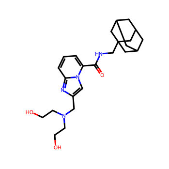 O=C(NCC12CC3CC(CC(C3)C1)C2)c1cccc2nc(CN(CCO)CCO)cn12